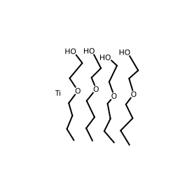 CCCCOCCO.CCCCOCCO.CCCCOCCO.CCCCOCCO.[Ti]